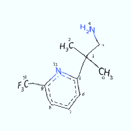 CC(C)(CN)c1cccc(C(F)(F)F)n1